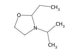 CCC1OCCN1C(C)C